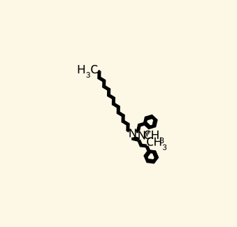 CCCCCCCCCCCCCCCn1cc(CC(C)c2ccccc2)[n+](C)c1Cc1ccccc1